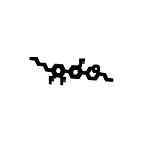 CCCCCc1ccc(-c2ccc(C3CCC(CCC)OC3)c(F)c2)c(F)c1F